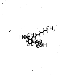 CCCCCCCCCc1c(O)cccc1C(C)O.O=S(=O)(O)O